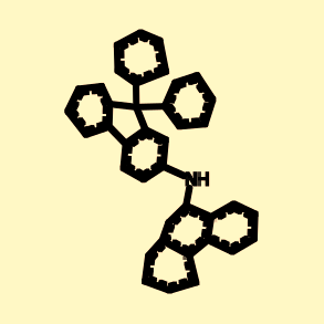 c1ccc(C2(c3ccccc3)c3ccccc3-c3ccc(Nc4cc5ccccc5c5ccccc45)cc32)cc1